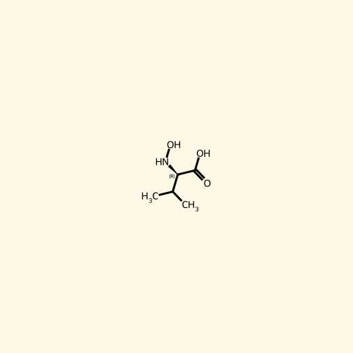 CC(C)[C@@H](NO)C(=O)O